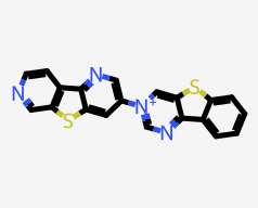 c1ccc2c(c1)sc1c[n+](-c3cnc4c(c3)sc3cnccc34)cnc12